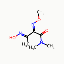 CON=C(C(=O)N(C)C)C(C)=NO